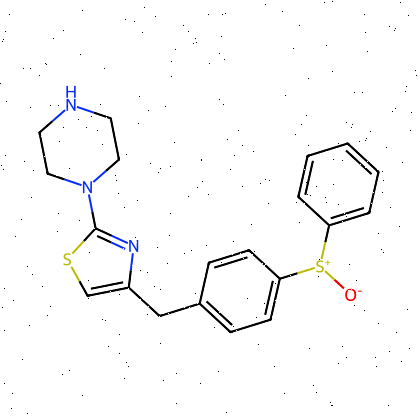 [O-][S+](c1ccccc1)c1ccc(Cc2csc(N3CCNCC3)n2)cc1